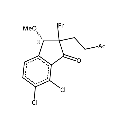 CO[C@H]1c2ccc(Cl)c(Cl)c2C(=O)C1(CCC(C)=O)C(C)C